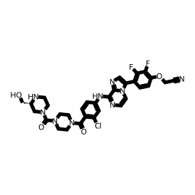 N#CCOc1ccc(-c2cnc3c(Nc4ccc(C(=O)N5CCN(C(=O)N6CCN[C@@H](CO)C6)CC5)c(Cl)c4)nccn23)c(F)c1F